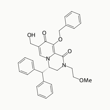 COCCN1C[C@H](C(c2ccccc2)c2ccccc2)n2cc(CO)c(=O)c(OCc3ccccc3)c2C1=O